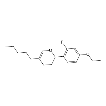 CCCCCC1=COC(c2ccc(OCC)cc2F)CC1